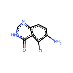 Nc1ccc2nc[nH]c(=O)c2c1Cl